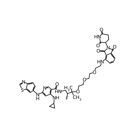 CC(C)(OCCOCCOCCNc1cccc2c1C(=O)N(C1CCC(=O)NC1=O)C2=O)C(F)CNC(=O)c1cnc(Nc2ccc3ncsc3c2)cc1NC1CC1